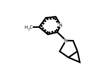 Cc1ccnc(N2CC3CC3C2)c1